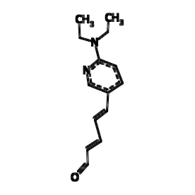 CCN(CC)c1ccc(C=CC=CC=O)cn1